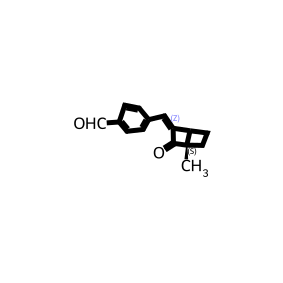 C[C@]12CCC1/C(=C/c1ccc(C=O)cc1)C2=O